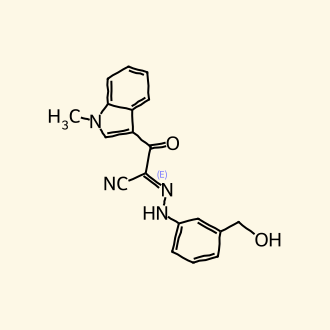 Cn1cc(C(=O)/C(C#N)=N/Nc2cccc(CO)c2)c2ccccc21